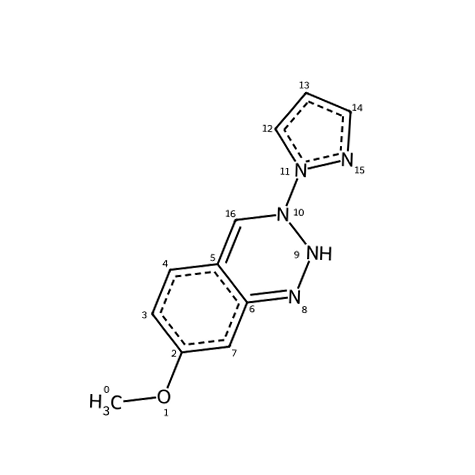 COc1ccc2c(c1)=NNN(n1cccn1)C=2